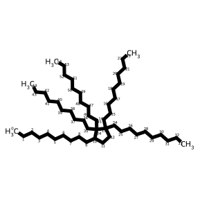 CCCCCCCCCCC1CCC(CCCCCCCCCC)(CCCCCCCCCC)C1(CCCCCCCCCC)CCCCCCCCCC